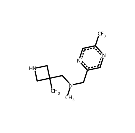 CN(Cc1cnc(C(F)(F)F)cn1)CC1(C)CNC1